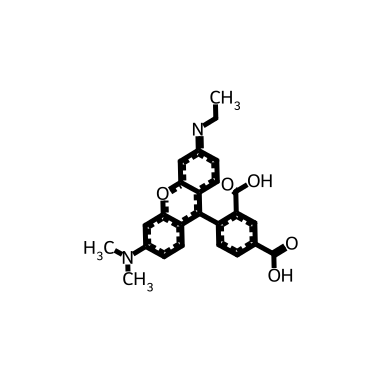 CC/N=c1\ccc2c(-c3ccc(C(=O)O)cc3C(=O)O)c3ccc(N(C)C)cc3oc-2c1